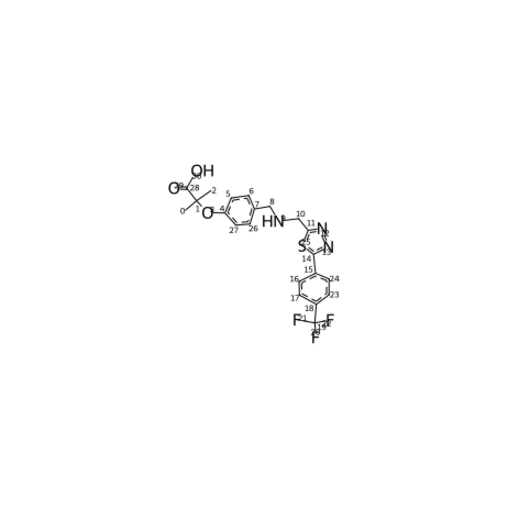 CC(C)(Oc1ccc(CNCc2nnc(-c3ccc(C(F)(F)F)cc3)s2)cc1)C(=O)O